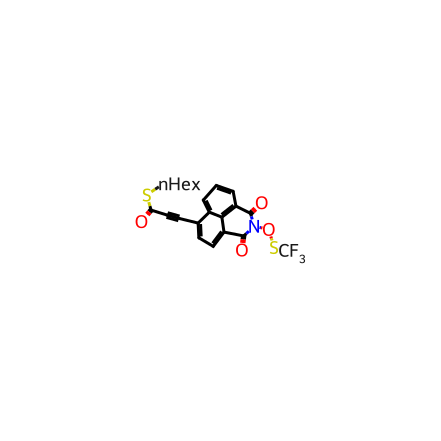 CCCCCCSC(=O)C#Cc1ccc2c3c(cccc13)C(=O)N(OSC(F)(F)F)C2=O